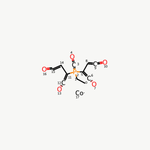 CCP(=C=O)(C(=C=O)C=C=O)C(=C=O)C=C=O.[Co]